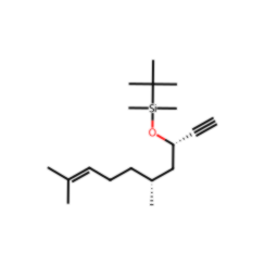 C#C[C@H](C[C@H](C)CCC=C(C)C)O[Si](C)(C)C(C)(C)C